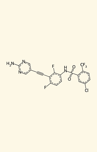 Nc1ncc(C#Cc2c(F)ccc(NS(=O)(=O)c3cc(Cl)ccc3C(F)(F)F)c2F)cn1